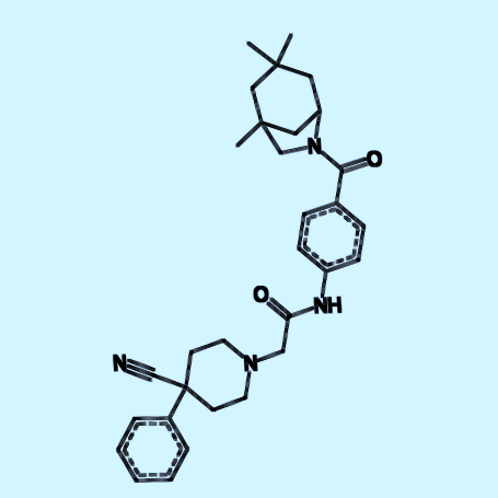 CC1(C)CC2CC(C)(CN2C(=O)c2ccc(NC(=O)CN3CCC(C#N)(c4ccccc4)CC3)cc2)C1